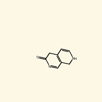 O=C1CC2=C(C=N1)CNC=C2